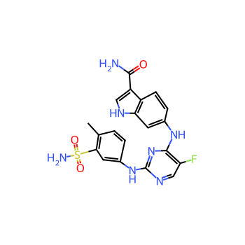 Cc1ccc(Nc2ncc(F)c(Nc3ccc4c(C(N)=O)c[nH]c4c3)n2)cc1S(N)(=O)=O